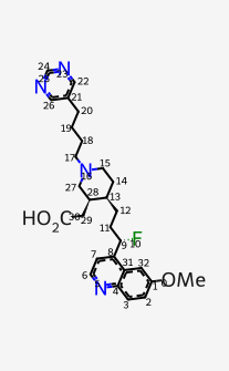 COc1ccc2nccc([C@@H](F)CC[C@@H]3CCN(CCCCc4cncnc4)C[C@@H]3CC(=O)O)c2c1